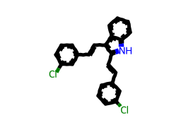 Clc1cccc(/C=C/c2[nH]c3ccccc3c2/C=C/c2cccc(Cl)c2)c1